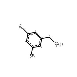 CC(C)c1cc(CC(=O)O)cc(C(F)(F)F)c1